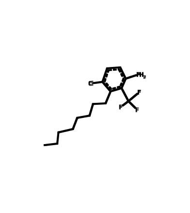 CCCCCCCCc1c(Cl)ccc(P)c1C(F)(F)F